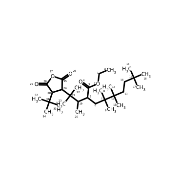 CCOC(=O)C(CC(C)(C)C(C)(C)CCC(C)(C)C)C(C)C(C)(C)C1C(=O)OC(=O)C1C(C)(C)C